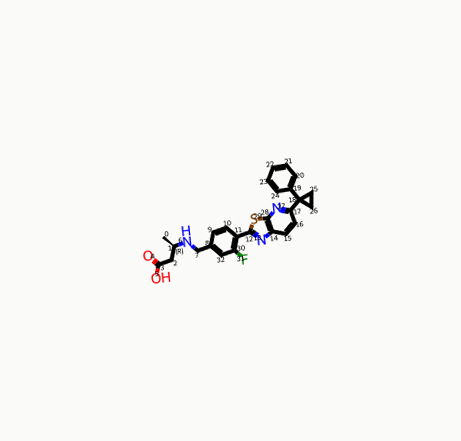 C[C@H](CC(=O)O)NCc1ccc(-c2nc3ccc(C4(c5ccccc5)CC4)nc3s2)c(F)c1